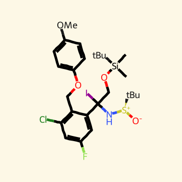 COc1ccc(OCc2c(Cl)cc(F)cc2C(I)(CO[Si](C)(C)C(C)(C)C)N[S@+]([O-])C(C)(C)C)cc1